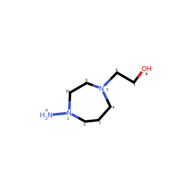 NN1CCCN(CCO)CC1